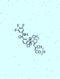 C/C(=C\C(=O)O)C[C@@H]1CCC(C)C1S(=O)(=O)c1cc(C(=O)Nc2cc(F)c(F)c(F)c2)ccc1Cl